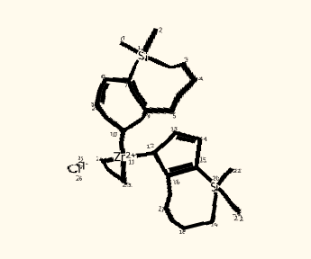 C[Si]1(C)CCCC2=C1C=C[CH]2[Zr+2]1([CH]2C=CC3=C2CCC[Si]3(C)C)[CH2][CH2]1.[Cl-].[Cl-]